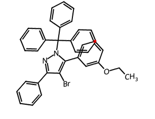 CCOc1cccc(-c2c(Br)c(-c3ccccc3)nn2C(c2ccccc2)(c2ccccc2)c2ccccc2)c1